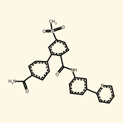 CS(=O)(=O)c1ccc(C(=O)Nc2cccc(-c3ccccn3)c2)c(-c2ccc(C(N)=O)cc2)c1